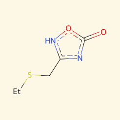 CCSCc1nc(=O)o[nH]1